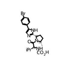 CC(C)[C@H](NC(=O)O)C(=O)N1[C@@H](C)CC[C@H]1c1ncc(-c2ccc(Br)cc2)[nH]1